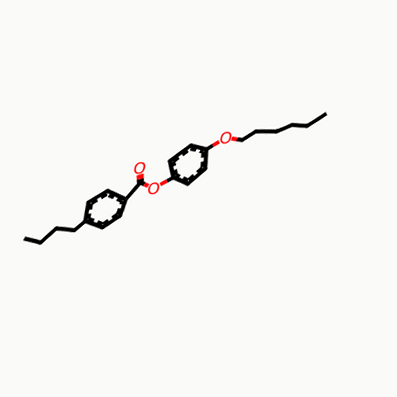 CCCCCCOc1ccc(OC(=O)c2ccc(CCCC)cc2)cc1